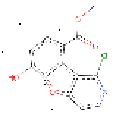 COC(=O)c1ccc(O)c2oc3ccnc(Cl)c3c12